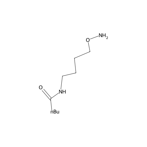 CCCCC(=O)NCCCCON